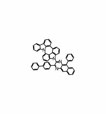 c1ccc(-c2ccc(-c3nc4cc5ccccc5c(-c5ccccc5)c4nc3-n3c4cccc5c6cccc7c8ccccc8n(c8cccc3c8c54)c67)cc2)cc1